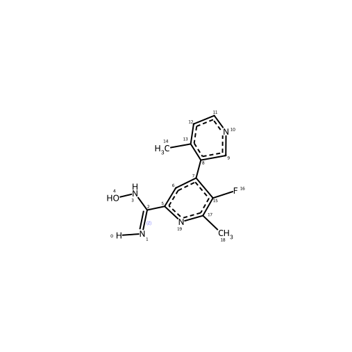 [H]/N=C(\NO)c1cc(-c2cnccc2C)c(F)c(C)n1